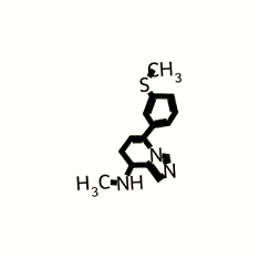 CNC1CC=C(c2cccc(SC)c2)n2cncc21